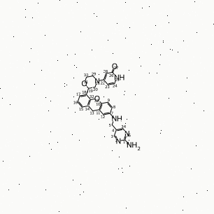 Nc1ncc(CNc2ccc3c(c2)Cc2cccc(C4CN(c5cc[nH]c(=O)c5)CCO4)c2O3)cn1